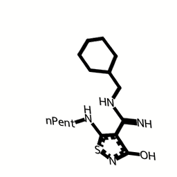 CCCCCNc1snc(O)c1C(=N)NCC1CCCCC1